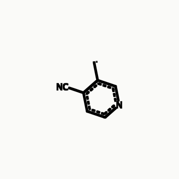 [CH2]c1cnccc1C#N